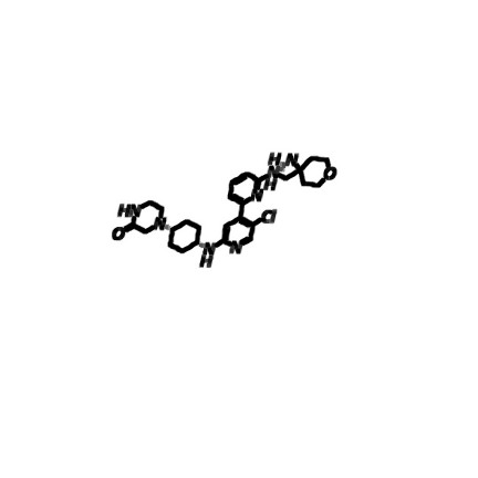 NC1(CNc2cccc(-c3cc(N[C@H]4CC[C@@H](N5CCNC(=O)C5)CC4)ncc3Cl)n2)CCOCC1